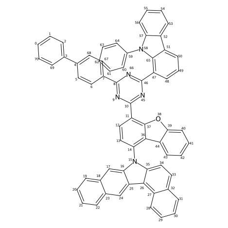 c1ccc(-c2ccc(-c3nc(-c4ccc(-n5c6cc7ccccc7cc6c6c7ccccc7ccc65)c5c4oc4ccccc45)nc(-c4cccc5c6ccccc6n(-c6ccccc6)c45)n3)cc2)cc1